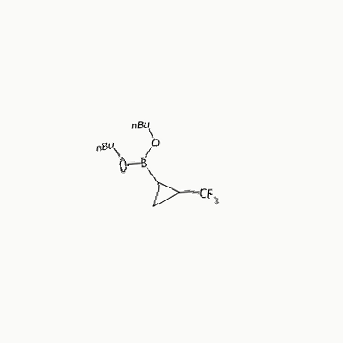 CCCCOB(OCCCC)C1CC1C(F)(F)F